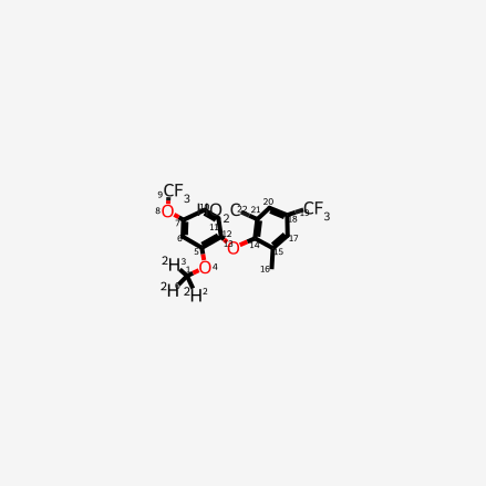 [2H]C([2H])([2H])Oc1cc(OC(F)(F)F)ccc1Oc1c(C)cc(C(F)(F)F)cc1C(=O)O